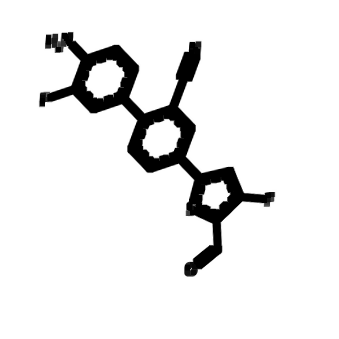 N#Cc1cc(-c2cc(F)c(C=O)s2)ccc1-c1ccc(N)c(F)c1